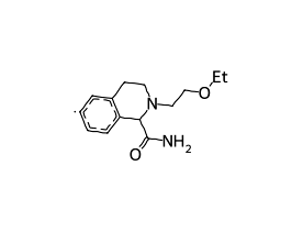 CCOCCN1CCc2c[c]ccc2C1C(N)=O